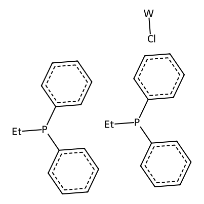 CCP(c1ccccc1)c1ccccc1.CCP(c1ccccc1)c1ccccc1.[Cl][W]